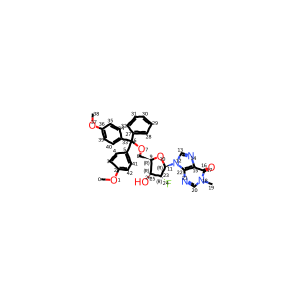 COc1ccc(C(OC[C@H]2O[C@@H](n3cnc4c(=O)n(C)cnc43)[C@H](F)[C@@H]2O)(c2ccccc2)c2ccc(OC)cc2)cc1